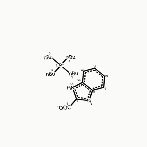 CCCC[P+](CCCC)(CCCC)CCCC.O=C([O-])c1nc2ccccc2[nH]1